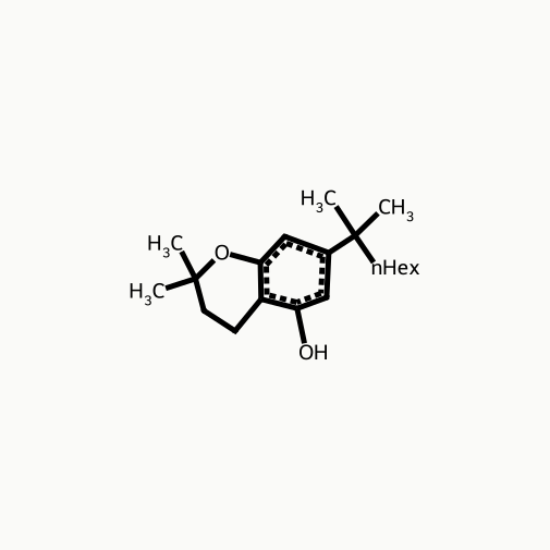 CCCCCCC(C)(C)c1cc(O)c2c(c1)OC(C)(C)CC2